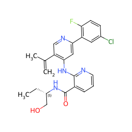 C=C(C)c1cnc(-c2cc(Cl)ccc2F)cc1Nc1ncccc1C(=O)N[C@@H](CC)CO